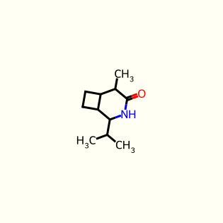 CC(C)C1NC(=O)C(C)C2CCC21